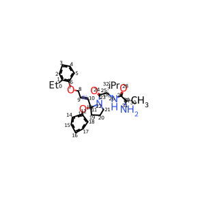 CCc1ccccc1OC/C=C/[C@@]1(Oc2ccccc2)CCCN1C(=O)[C@@H](NC(=O)[C@H](C)N)C(C)C